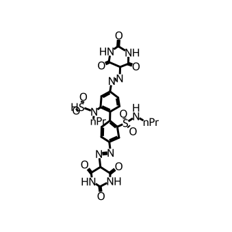 CCCNS(=O)(=O)c1cc(N=NC2C(=O)NC(=O)NC2=O)ccc1-c1ccc(N=NC2C(=O)NC(=O)NC2=O)cc1N(CCC)[SH](=O)=O